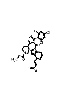 C=CC(=O)N1CCC(c2onc(-c3c(F)cc(Cl)cc3Cl)c2C(=O)n2ccc3c(/C=C/C(=O)O)cccc32)CC1